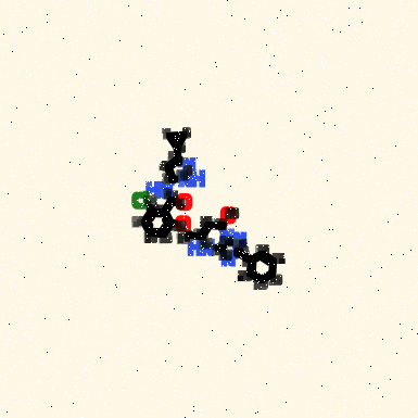 O=C(NC1CC(C2CC2)=NN1)c1c(Cl)cccc1OCC1CC(=O)n2nc(C3=CCCC=C3)nc2N1